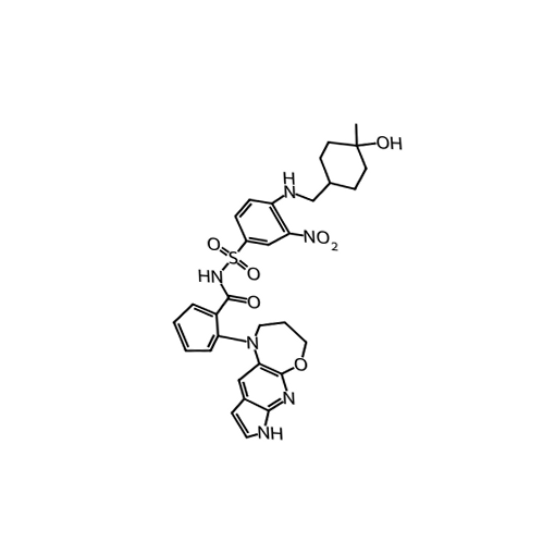 CC1(O)CCC(CNc2ccc(S(=O)(=O)NC(=O)c3ccccc3N3CCCOc4nc5[nH]ccc5cc43)cc2[N+](=O)[O-])CC1